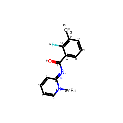 CCCCn1cccc/c1=N\C(=O)c1cccc(C(F)(F)F)c1F